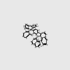 c1ccc2c(c1)Oc1c(ccc3c4ccc5ccccc5c4n(-c4cccc5ccccc45)c13)C21c2ccccc2-c2ccccc21